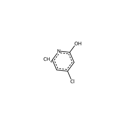 C.Oc1cc(Cl)ccn1